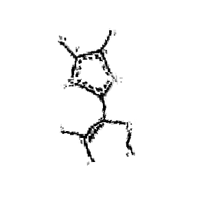 COC(=C(C)C)c1nc(C)c(C)s1